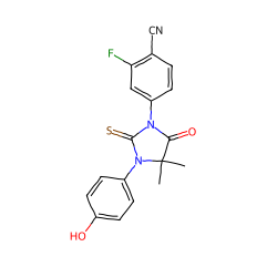 CC1(C)C(=O)N(c2ccc(C#N)c(F)c2)C(=S)N1c1ccc(O)cc1